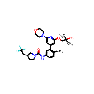 Cc1ccc(NC(=O)N2CC[C@@H](CC(F)(F)F)C2)cc1-c1cc(OCC(C)(C)O)nc(N2CCOCC2)c1